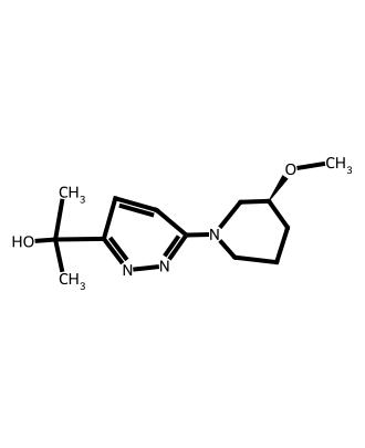 CO[C@H]1CCCN(c2ccc(C(C)(C)O)nn2)C1